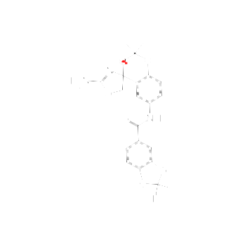 CC1(C)Oc2ccc(NC(=O)c3ccc4c(c3)OC(F)(F)O4)cc2C2(COC(N)=N2)C12COC2